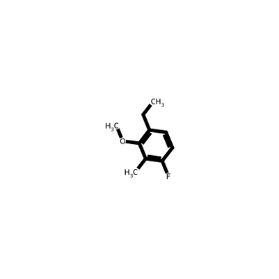 CCc1ccc(F)c(C)c1OC